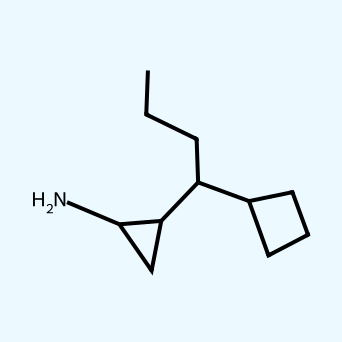 CCCC(C1CCC1)C1CC1N